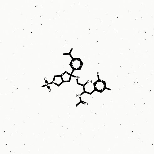 CC(=O)NC(Cc1cc(F)cc(F)c1)C(O)CNC1(c2cccc(C(C)C)c2)CC2CN(S(C)(=O)=O)CC2C1